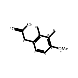 COc1ccc(CC(=O)Cl)c(C)c1C